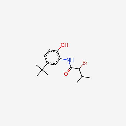 CC(C)C(Br)C(=O)Nc1cc(C(C)(C)C)ccc1O